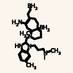 BCCC1=C(N)C[C@@]2(C)N(CC3Nc4ccc(C)cc4N3CCCN(C)I)CCCC2(B)CC1